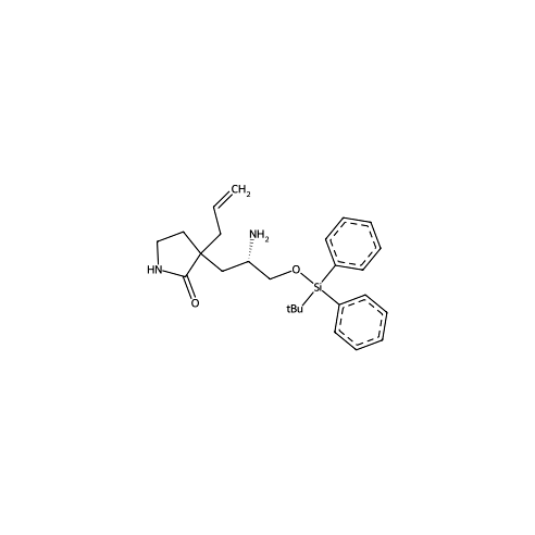 C=CCC1(C[C@H](N)CO[Si](c2ccccc2)(c2ccccc2)C(C)(C)C)CCNC1=O